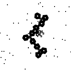 CC1(C)c2cc(-c3ccc4c5ccccc5n(-c5ccccc5)c4c3)ccc2-c2ccc(N(c3ccccc3)c3ccc(-c4ccc(-n5c6ccccc6c6ccccc65)cc4)cc3)cc21